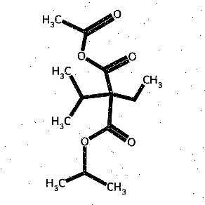 CCC(C(=O)OC(C)=O)(C(=O)OC(C)C)C(C)C